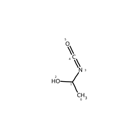 CC(O)N=C=O